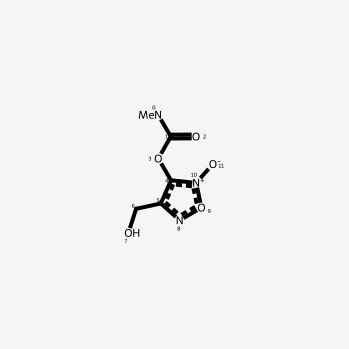 CNC(=O)Oc1c(CO)no[n+]1[O-]